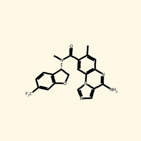 Cc1cc2nc(N)c3cncn3c2cc1C(=O)N(C)[C@@H]1COc2cc(C(F)(F)F)ccc21